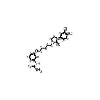 NC(=S)Nc1cccc(OCCCCCN2CCN(c3ccc(Cl)c(Cl)c3)C2=S)c1